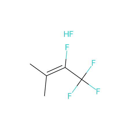 CC(C)=C(F)C(F)(F)F.F